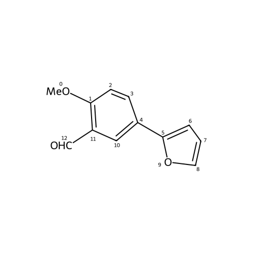 COc1ccc(-c2ccco2)cc1C=O